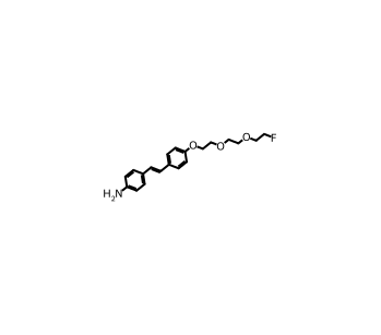 Nc1ccc(/C=C/c2ccc(OCCOCCOCCF)cc2)cc1